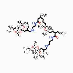 CC(CNCCCNC(=O)C(CC[Si](C)(C)O[Si](C)(C)CCCC(CC(=O)NCCNCC(C)C[Si](C)(O[Si](C)(C)C)O[Si](C)(C)O[Si](C)(C)C)C(=O)O)CC(=O)O)C[Si](C)(O[Si](C)(C)C)O[Si](C)(C)O[Si](C)(C)C